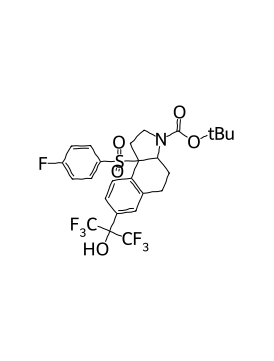 CC(C)(C)OC(=O)N1CCC2(S(=O)(=O)c3ccc(F)cc3)c3ccc(C(O)(C(F)(F)F)C(F)(F)F)cc3CCC12